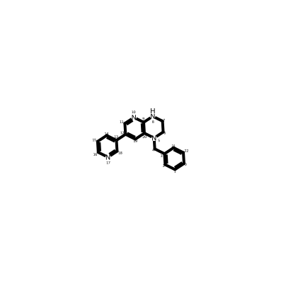 c1ccc(CN2CCNc3ncc(-c4cccnc4)cc32)cc1